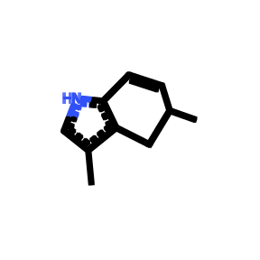 Cc1c[nH]c2c1CC(C)C=C2